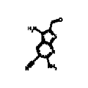 N#Cc1cc2c(N)c(C=O)sc2nc1N